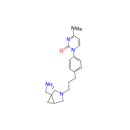 CNc1ccn(-c2ccc(CCCN3CC4CC4(CN)C3)cc2)c(=O)n1